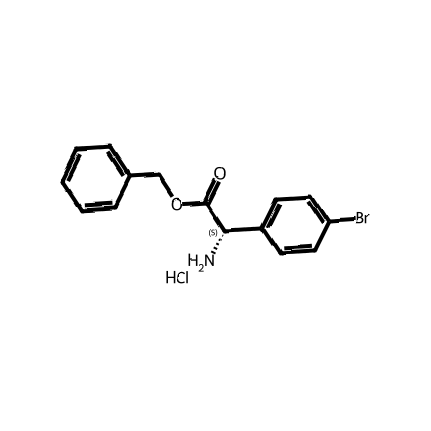 Cl.N[C@H](C(=O)OCc1ccccc1)c1ccc(Br)cc1